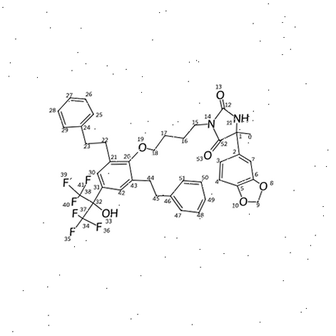 CC1(c2ccc3c(c2)OCO3)NC(=O)N(CCCCOc2c(CCc3ccccc3)cc(C(O)(C(F)(F)F)C(F)(F)F)cc2CCc2ccccc2)C1=O